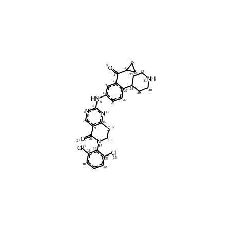 O=C(c1cc(Nc2ncc3c(n2)SCN(c2c(Cl)cccc2Cl)C3=O)ccc1C1CCNCC1)C1CC1